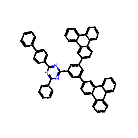 c1ccc(-c2ccc(-c3nc(-c4ccccc4)nc(-c4cc(-c5ccc6c7ccccc7c7ccccc7c6c5)cc(-c5ccc6c7ccccc7c7ccccc7c6c5)c4)n3)cc2)cc1